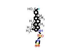 C=C(C)[C@@H]1CC[C@]2(NCCS(=O)(=O)CCN3CCS(=O)(=O)CC3)CC[C@]3(C)[C@H](CCC4[C@@]5(C)CC=C(C6=CC[C@](CF)(C(=O)O)CC6)C(C)(C)C5CC[C@]43C)C12